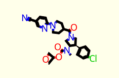 CN(C(=O)OC1COC1)[C@@H]1CN(C(=O)C2CCN(c3ccc(C#N)cn3)CC2)C[C@H]1c1ccc(Cl)cc1